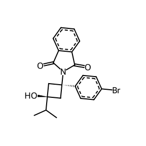 CC(C)[C@]1(O)C[C@@](c2ccc(Br)cc2)(N2C(=O)c3ccccc3C2=O)C1